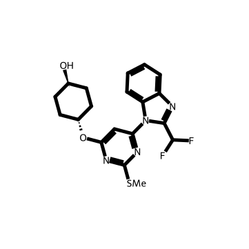 CSc1nc(O[C@H]2CC[C@H](O)CC2)cc(-n2c(C(F)F)nc3ccccc32)n1